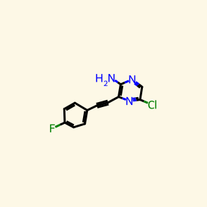 Nc1ncc(Cl)nc1C#Cc1ccc(F)cc1